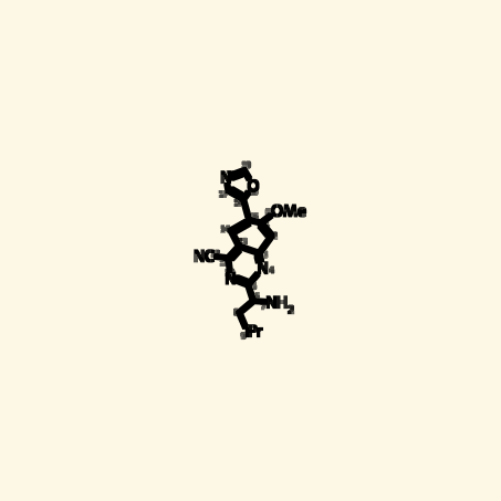 COc1cc2nc(C(N)CC(C)C)nc(C#N)c2cc1-c1cnco1